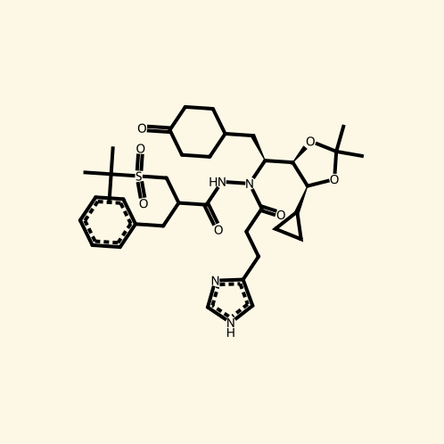 CC1(C)O[C@H]([C@H](CC2CCC(=O)CC2)N(NC(=O)C(Cc2ccccc2)CS(=O)(=O)C(C)(C)C)C(=O)CCc2c[nH]cn2)[C@H](C2CC2)O1